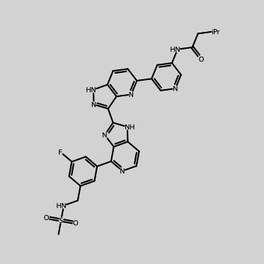 CC(C)CC(=O)Nc1cncc(-c2ccc3[nH]nc(-c4nc5c(-c6cc(F)cc(CNS(C)(=O)=O)c6)nccc5[nH]4)c3n2)c1